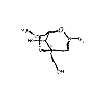 B[C@@H]1O[C@@]2(CO)CN(C)OC1C2O